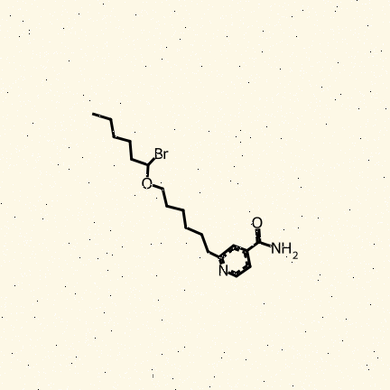 CCCCCC(Br)OCCCCCCc1cc(C(N)=O)ccn1